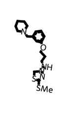 CSC1=NN(NCCCOc2cccc(CN3CCCCC3)c2)CS1